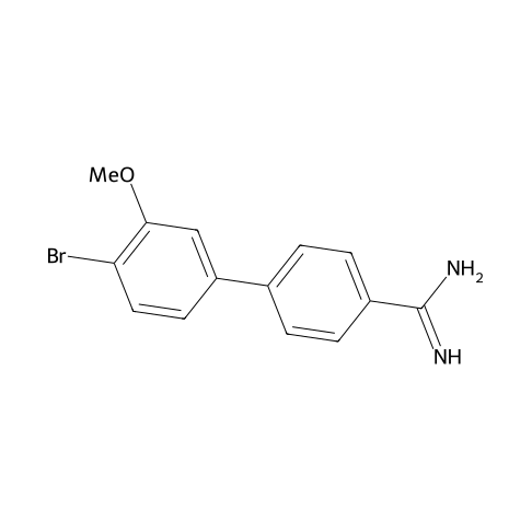 COc1cc(-c2ccc(C(=N)N)cc2)ccc1Br